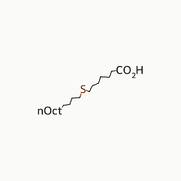 CCCCCCCCCCCCSCCCCCCC(=O)O